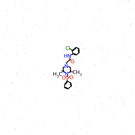 C[C@@H]1CN(CC(=O)Nc2ccccc2Cl)C[C@H](C)N1S(=O)(=O)c1ccccc1